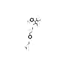 COC(=O)C1=C(C(F)(F)F)NC(C)=C(C(=O)OCCNC(=O)Cc2ccc(OCC(O)CNC(C)C)cc2)C1c1cccc([N+](=O)[O-])c1